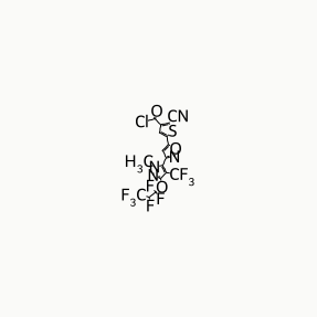 Cn1nc(OC(F)(F)C(F)C(F)(F)F)c(C(F)(F)F)c1-c1cc(-c2cc(C(=O)Cl)c(C#N)s2)on1